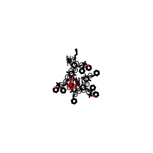 C#CCCCO[C@@H]1OC(CO[Si](c2ccccc2)(c2ccccc2)C(C)(C)C)[C@@H](O[C@@H]2OC(C)[C@@H](O[C@@H]3OC(CO[Si](c4ccccc4)(c4ccccc4)C(C)(C)C)[C@@H](O[C@@H]4OC(C)[C@@H](O[C@@H]5OC(CO[Si](c6ccccc6)(c6ccccc6)C(C)(C)C)[C@@H](O[C@@H]6OC(C)[C@@H](C)[C@@H](OCc7ccccc7)C6C)[C@H](C)C5N=[N+]=[N-])[C@@H](OCc5ccccc5)C4C)[C@H](C)C3N=[N+]=[N-])[C@@H](OCc3ccccc3)C2C)[C@H](C)C1N=[N+]=[N-]